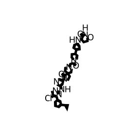 O=C1CCC(Nc2ccc(C3CCN(C(=O)CN4CCC5(CC4)CCN(c4cncc(Nc6ncc(Cl)c(-c7cccc(C8CC8)c7)n6)c4)C5=O)CC3)cc2)C(=O)N1